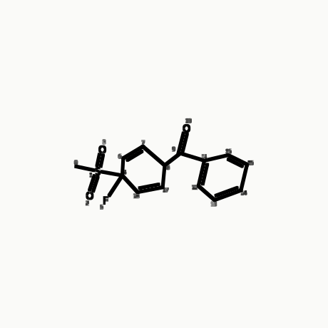 CS(=O)(=O)C1(F)C=CC(C(=O)c2ccccc2)C=C1